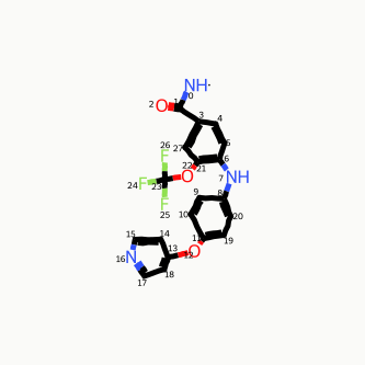 [NH]C(=O)c1ccc(Nc2ccc(Oc3ccncc3)cc2)c(OC(F)(F)F)c1